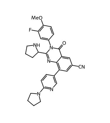 COc1ccc(-n2c(C3CCCN3)nc3c(-c4ccc(N5CCCC5)nc4)cc(C#N)cc3c2=O)cc1F